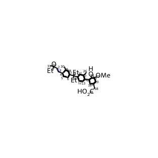 CCC1(/C=C/c2ccc(C(CC)(CC)c3ccc(-c4cc(CC(=O)O)cc(OC)c4O)c(C)c3)cc2C)CO1